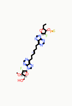 CCC1O[C@@H](n2cnc3c(CC/C=C/CCc4ncnc5c4ncn5[C@@H]4O[C@H](CO)[C@@H](OC)[C@H]4F)ncnc32)[C@H](F)[C@@H]1OP=S